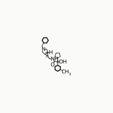 Cc1cccc([C@](O)(C(=O)NC[C@H]2C3CN(Cc4ccccc4)C[C@@H]32)C2CCCC2)c1